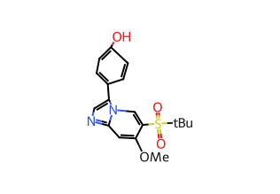 COc1cc2ncc(-c3ccc(O)cc3)n2cc1S(=O)(=O)C(C)(C)C